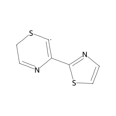 [C]1=C(c2nccs2)N=CCS1